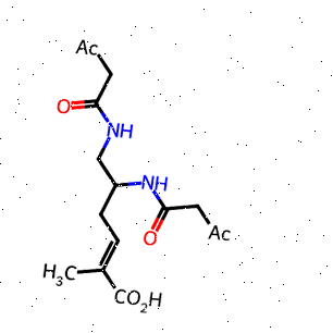 CC(=O)CC(=O)NCC(CC=C(C)C(=O)O)NC(=O)CC(C)=O